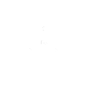 [S]=[Fe-3](=[S])=[S]